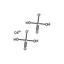 O=P([O-])(O)O.O=P([O-])(O)O.[Cd+2]